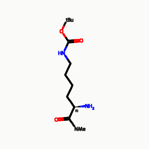 CNC(=O)[C@@H](N)CCCCNC(=O)OC(C)(C)C